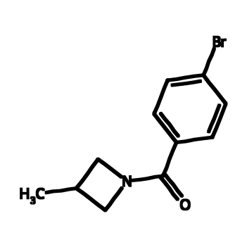 CC1CN(C(=O)c2ccc(Br)cc2)C1